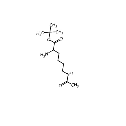 CC(=O)NCCCCC(N)C(=O)OC(C)(C)C